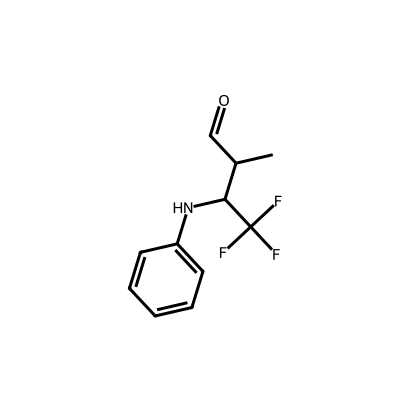 CC(C=O)C(Nc1ccccc1)C(F)(F)F